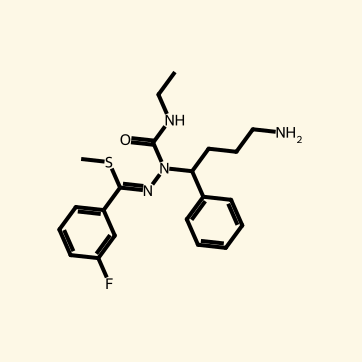 CCNC(=O)N(/N=C(\SC)c1cccc(F)c1)C(CCCN)c1ccccc1